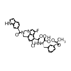 CS(=O)(=O)c1cccc(C[C@H](NC(=O)c2c(Cl)cc3c4c2c(F)cn4CN(C(=O)c2ccc4cc[nH]c4c2)C3)C(=O)O)c1